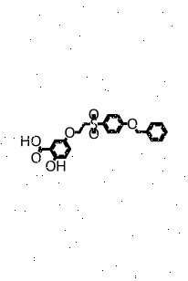 O=C(O)c1cc(OCCS(=O)(=O)c2ccc(OCc3ccccc3)cc2)ccc1O